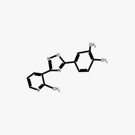 Cc1ccc(-c2nc(-c3cccnc3C)no2)cc1C